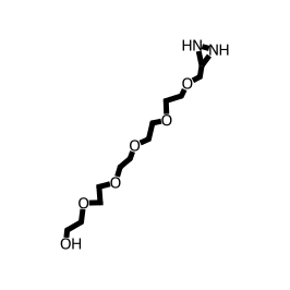 OCCOCCOCCOCCOCCOCC1NN1